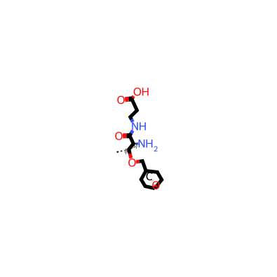 C[C@@H](OCC12CCC(CC1)OC2)[C@H](N)C(=O)NCCC(=O)O